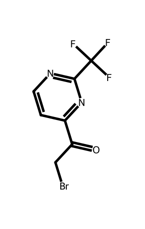 O=C(CBr)c1ccnc(C(F)(F)F)n1